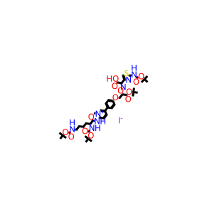 C[n+]1cc(-c2ccc(OCC(ON=C(C(=O)O)c3csc(NC(=O)OC(C)(C)C)n3)C(=O)OC(C)(C)C)cc2)ccc1NC(=O)C(CCCCNC(=O)OC(C)(C)C)NC(=O)OC(C)(C)C.[I-]